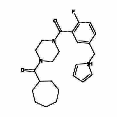 O=C(c1cc(C[SH]2C=CC=C2)ccc1F)N1CCN(C(=O)C2CCCCCC2)CC1